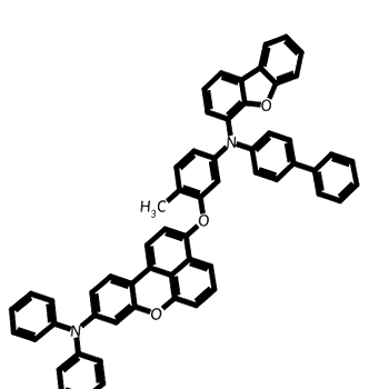 Cc1ccc(N(c2ccc(-c3ccccc3)cc2)c2cccc3c2oc2ccccc23)cc1Oc1ccc2c3c(cccc13)Oc1cc(N(c3ccccc3)c3ccccc3)ccc1-2